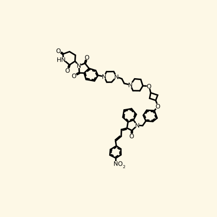 O=C1CCC(N2C(=O)c3ccc(N4CCN(CCN5CCC(OC6CC(Oc7ccc(CN8C(=O)/C(=C\C=C\c9ccc([N+](=O)[O-])cc9)c9ccccc98)cc7)C6)CC5)CC4)cc3C2=O)C(=O)N1